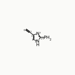 C#Cc1c[nH]c(P)n1